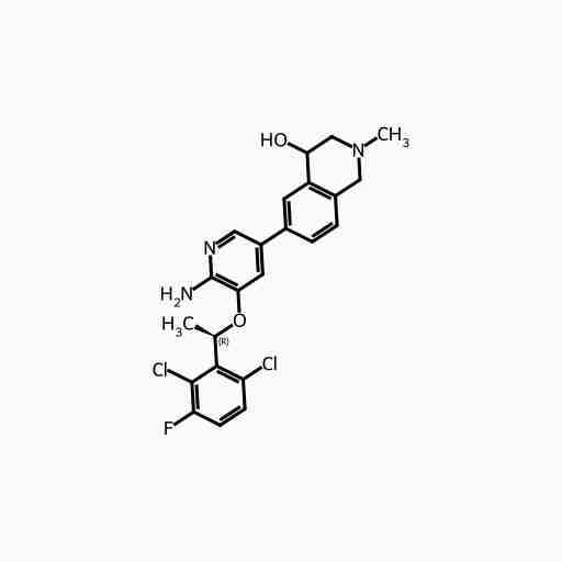 C[C@@H](Oc1cc(-c2ccc3c(c2)C(O)CN(C)C3)cnc1N)c1c(Cl)ccc(F)c1Cl